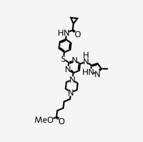 COC(=O)CCCCN1CCN(c2cc(Nc3cc(C)n[nH]3)nc(Sc3ccc(NC(=O)C4CC4)cc3)n2)CC1